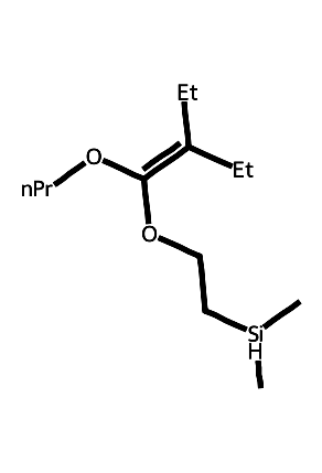 CCCOC(OCC[SiH](C)C)=C(CC)CC